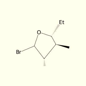 CC[C@H]1OC(Br)[C@@H](C)[C@@H]1C